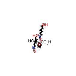 O=C(O)C1C2C=CC(O2)C1C(=O)O.O=C=NCCC=CCCO.O=C=NCCC=CCCO